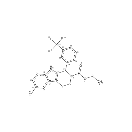 CCOC(=O)N1CCc2c([nH]c3ccc(Cl)cc23)C1c1cccc(C(F)(F)F)c1